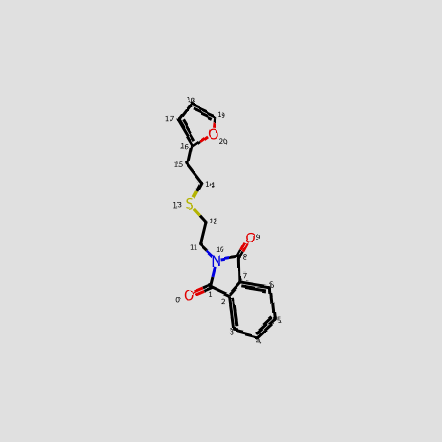 O=C1c2ccccc2C(=O)N1CCSCCc1ccco1